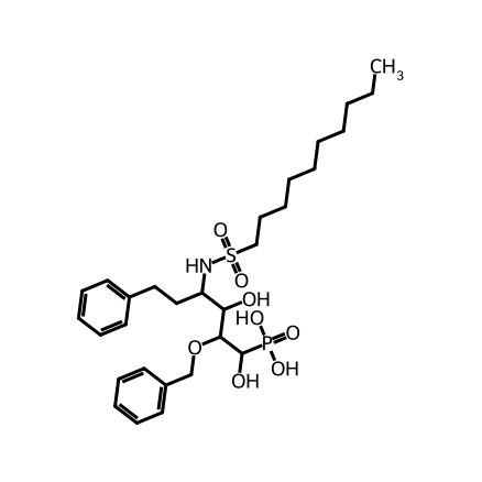 CCCCCCCCCCS(=O)(=O)NC(CCc1ccccc1)C(O)C(OCc1ccccc1)C(O)P(=O)(O)O